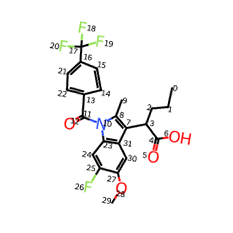 CCCC(C(=O)O)c1c(C)n(C(=O)c2ccc(C(F)(F)F)cc2)c2cc(F)c(OC)cc12